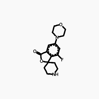 O=C1OC2(CCNCC2)c2c(F)cc(N3CCOCC3)cc21